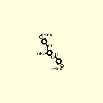 CCCCCCOc1ccc(C(=O)Oc2ccc(OC(=O)c3ccc(OCCCCCC)cc3)c(CCCC)c2)cc1